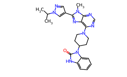 CC(C)n1cc(-c2nc3c(N4CCC(n5c(=O)[nH]c6ccccc65)CC4)ncnc3n2C)cn1